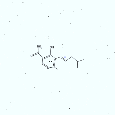 Cc1ncc(C(N)=O)c(O)c1/C=C/CC(C)C